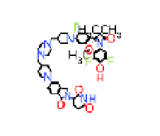 COc1cc(N2CCC(CN3CCN(CC4CCN(c5ccc6c(c5)CN(C5CCC(=O)NC5=O)C6=O)CC4)CC3)CC2)c(F)cc1[C@@H]1N(c2cc(F)c(O)c(F)c2)C(=O)C1(C)C